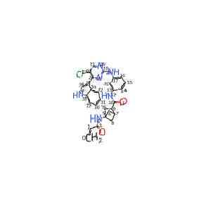 C=CC(=O)NC12CC(C1)C(C(=O)Nc1cccc(Nc3ncc(Cl)c(-c4c[nH]c5ccccc45)n3)c1)C2